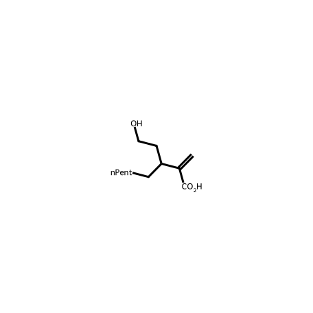 C=C(C(=O)O)C(CCO)CCCCCC